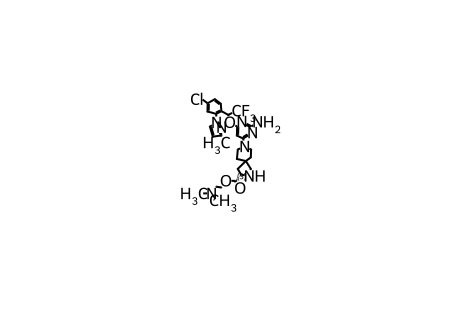 Cc1ccn(-c2cc(Cl)ccc2C(Oc2cc(N3CCC4(CC3)CN[C@H](C(=O)OCCN(C)C)C4)nc(N)n2)C(F)(F)F)n1